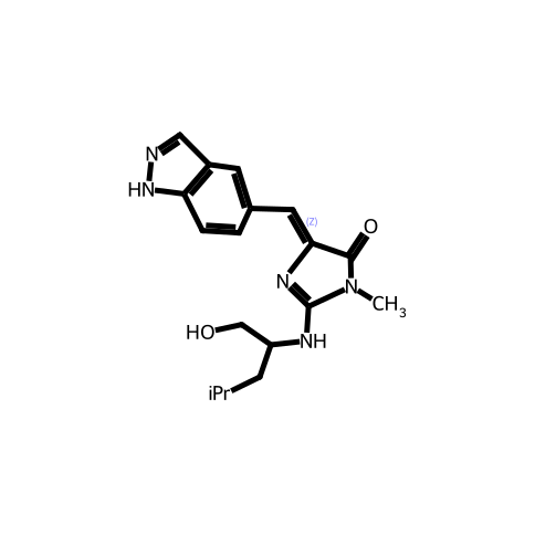 CC(C)CC(CO)NC1=N/C(=C\c2ccc3[nH]ncc3c2)C(=O)N1C